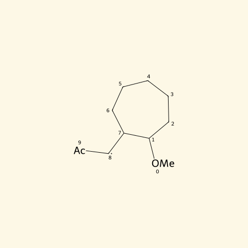 COC1CCCCCC1[CH]C(C)=O